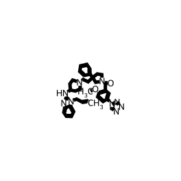 CC=CCn1c(NC2CCN(CCC3(c4ccccc4)CCN(C(=O)c4cc(-n5cnnn5)ccc4OC)C3)CC2)nc2ccccc21